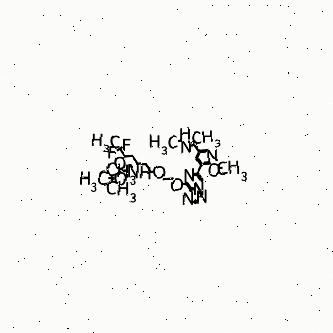 CCN[C@H](C)c1cnc(OC)c(-c2cn3ncnc3c(OCCOCCC(CCC(C)(F)F)NC(=O)OC(C)(C)C)n2)c1